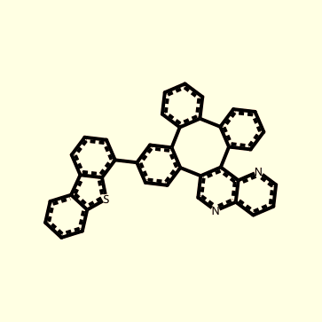 c1ccc2c(c1)-c1cc(-c3cccc4c3sc3ccccc34)ccc1-c1cnc3cccnc3c1-c1ccccc1-2